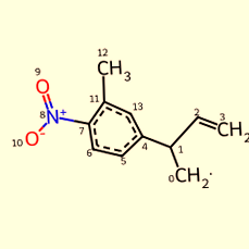 [CH2]C(C=C)c1ccc([N+](=O)[O-])c(C)c1